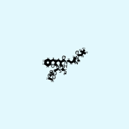 CSC(=S)SCC(CC(Cc1ccccc1)C(=O)NCCOP1(=O)OCCO1)C(=O)NCCc1cn(C(=O)CC(C)(C)C)cn1